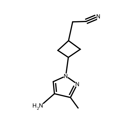 Cc1nn(C2CC(CC#N)C2)cc1N